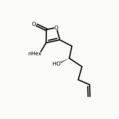 C=CCC[C@H](O)CC1=C(CCCCCC)C(=O)O1